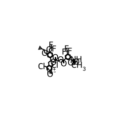 CS(=O)(=O)Nc1cc(C(=O)OCC(=O)OC(Cc2c(Cl)c[n+]([O-])cc2Cl)c2ccc(OC(F)F)c(OCC3CC3)c2)cc(C(F)(F)F)c1